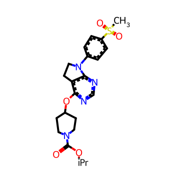 CC(C)OC(=O)N1CCC(Oc2ncnc3c2CCN3c2ccc(S(C)(=O)=O)cc2)CC1